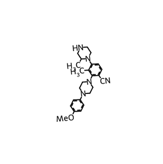 COc1ccc(N2CCN(c3c(C#N)ccc(N4CCNCC4C)c3C)CC2)cc1